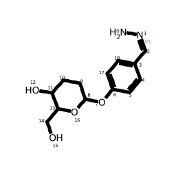 N/N=C\c1ccc(OC2CCC(O)C(CO)O2)cc1